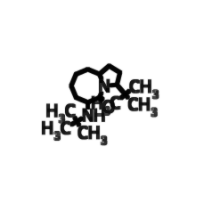 CC(C)(C)NC1CCCCC2CCC(C(C)(C)C)N2C1=O